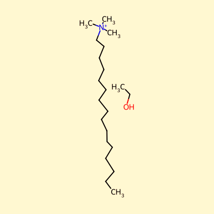 CCCCCCCCCCCCCCCC[N+](C)(C)C.CCO